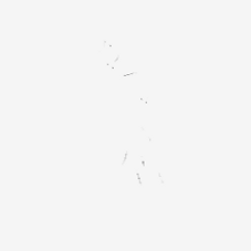 Nc1nc2c(s1)CCN(CC=Cc1ccc3csccc1-3)CC2